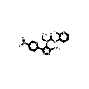 CCN(C(=O)Oc1cccnc1F)c1c(C)noc1-c1ccc([N+](=O)[O-])cn1